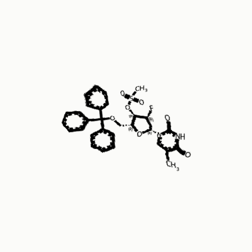 Cc1cn([C@@H]2O[C@H](COC(c3ccccc3)(c3ccccc3)c3ccccc3)[C@@H](OS(C)(=O)=O)[C@H]2F)c(=O)[nH]c1=O